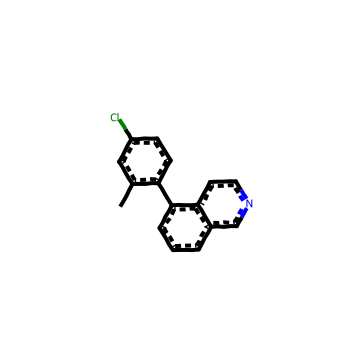 Cc1cc(Cl)ccc1-c1cccc2cnccc12